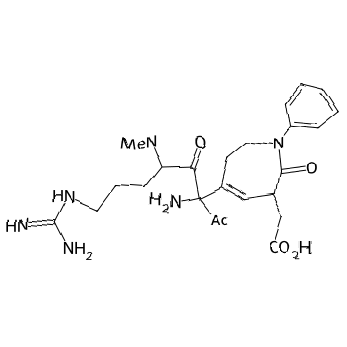 CNC(CCCNC(=N)N)C(=O)C(N)(C(C)=O)C1=CC(CC(=O)O)C(=O)N(c2ccccc2)CC1